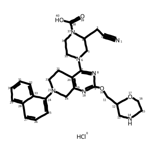 Cl.N#CCC1CN(c2nc(OCC3CNCCO3)nc3c2CCN(c2cccc4ccccc24)C3)CCN1C(=O)O